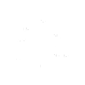 NCCN.O=C([O-])CC(O)(CC(=O)[O-])C(=O)[O-].[Na+].[Na+].[Na+]